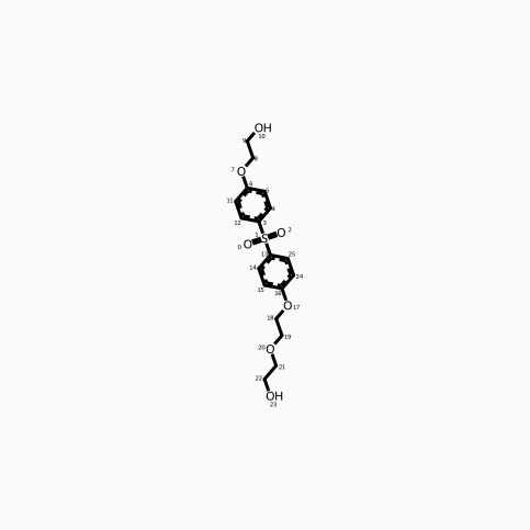 O=S(=O)(c1ccc(OCCO)cc1)c1ccc(OCCOCCO)cc1